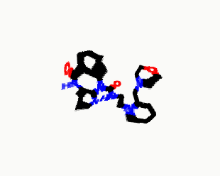 O=C1Nc2cccnc2N(C(=O)NCCN2CCCCC2CN2CCOCC2)c2ccccc21